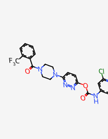 O=C(Nc1ccnc(Cl)c1)Oc1ccc(N2CCN(C(=O)c3ccccc3C(F)(F)F)CC2)nn1